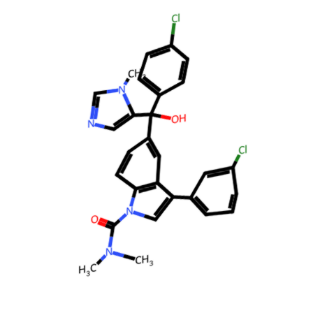 CN(C)C(=O)n1cc(-c2cccc(Cl)c2)c2cc(C(O)(c3ccc(Cl)cc3)c3cncn3C)ccc21